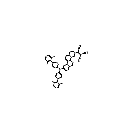 Cc1cccc(C)c1-c1ccc(N(c2ccc(-c3c(C)cccc3C)cc2)c2ccc3ccc4c5cc(C(C#N)=C(C#N)C#N)ccc5ccc4c3c2)cc1